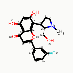 CN1CCC(c2c(O)cc(O)c3c(=O)cc(-c4cccc(F)c4)oc23)[C@H]1CO